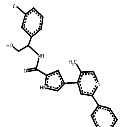 Cc1cnc(-c2ccccc2)cc1-c1c[nH]c(C(=O)NC(CO)c2cccc(Cl)c2)c1